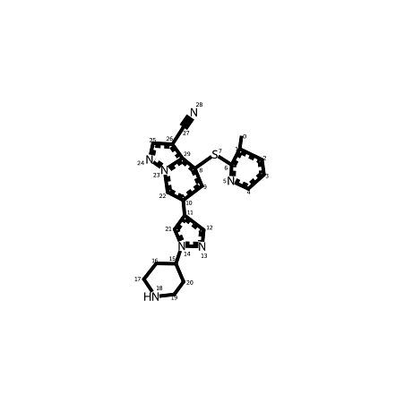 Cc1cccnc1Sc1cc(-c2cnn(C3CCNCC3)c2)cn2ncc(C#N)c12